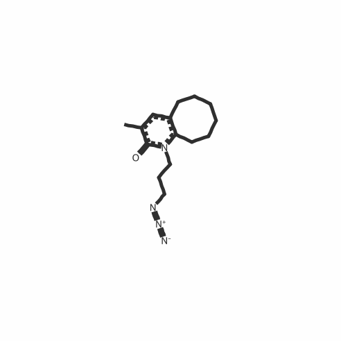 Cc1cc2c(n(CCCN=[N+]=[N-])c1=O)CCCCCC2